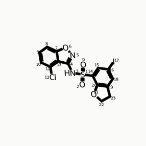 O=S(=O)(Nc1noc2cccc(Cl)c12)c1cc(I)cc2c1OCC2